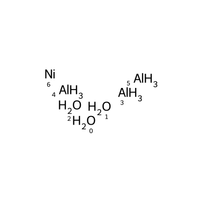 O.O.O.[AlH3].[AlH3].[AlH3].[Ni]